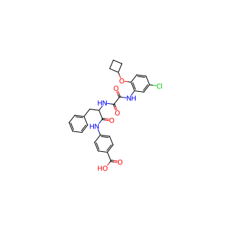 O=C(Nc1cc(Cl)ccc1OC1CCC1)C(=O)NC(Cc1ccccc1)C(=O)Nc1ccc(C(=O)O)cc1